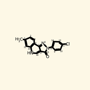 Cc1ccc2c3nn(-c4ccc(Cl)cc4)c(=O)c-3c[nH]c2c1